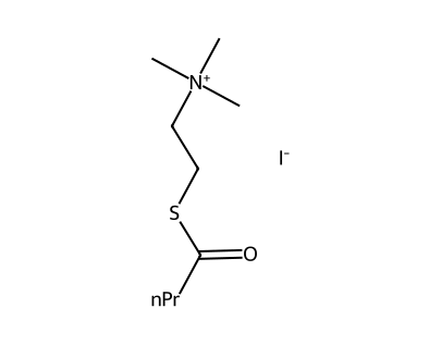 CCCC(=O)SCC[N+](C)(C)C.[I-]